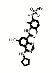 CCCS(=O)(=O)Nc1ccc(F)c(NC(=O)c2cc(C)cc3c(NC4CCCC4)ncnc23)c1F